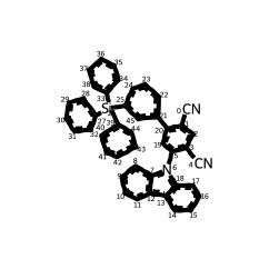 N#Cc1cc(C#N)c(-n2c3ccccc3c3ccccc32)cc1-c1cccc([Si](c2ccccc2)(c2ccccc2)c2ccccc2)c1